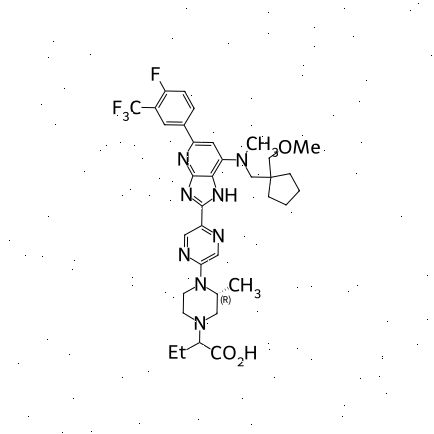 CCC(C(=O)O)N1CCN(c2cnc(-c3nc4nc(-c5ccc(F)c(C(F)(F)F)c5)cc(N(C)CC5(COC)CCCC5)c4[nH]3)cn2)[C@H](C)C1